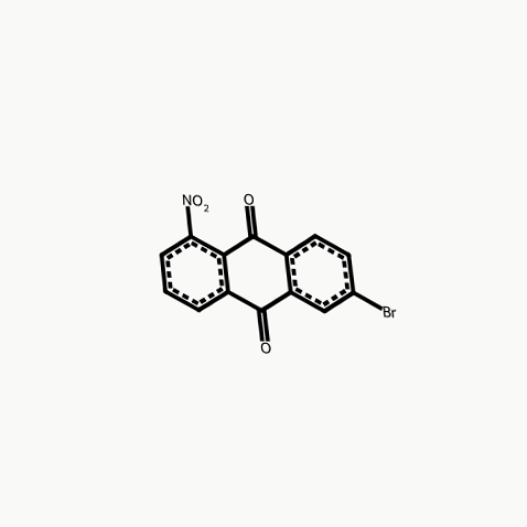 O=C1c2cc(Br)ccc2C(=O)c2c1cccc2[N+](=O)[O-]